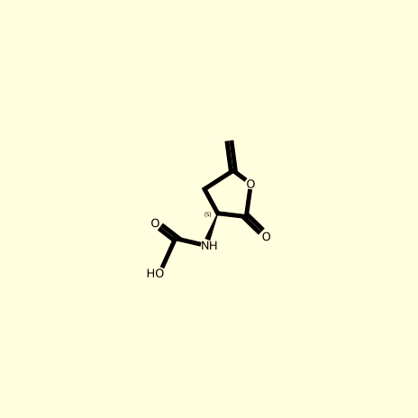 C=C1C[C@H](NC(=O)O)C(=O)O1